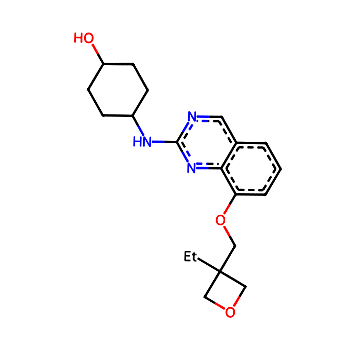 CCC1(COc2cccc3cnc(NC4CCC(O)CC4)nc23)COC1